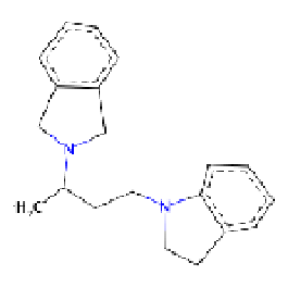 [CH2]C(CCN1CCc2ccccc21)N1Cc2ccccc2C1